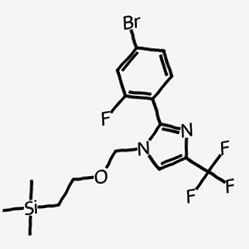 C[Si](C)(C)CCOCn1cc(C(F)(F)F)nc1-c1ccc(Br)cc1F